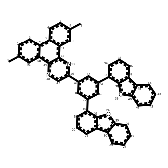 Cc1ccc2c3ccc(C)cc3c3nc(-c4cc(-c5cccc6c5oc5ccccc56)cc(-c5cccc6c5oc5ccccc56)c4)cnc3c2c1